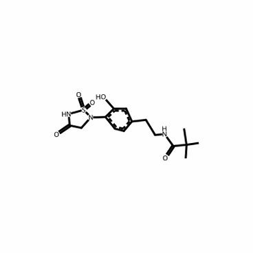 CC(C)(C)C(=O)NCCc1ccc(N2CC(=O)NS2(=O)=O)c(O)c1